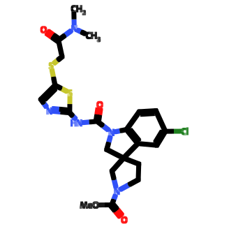 COC(=O)N1CCC2(C1)CN(C(=O)Nc1ncc(SCC(=O)N(C)C)s1)c1ccc(Cl)cc12